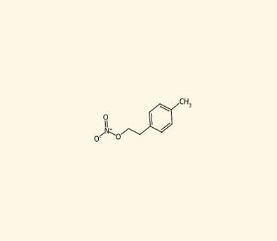 Cc1ccc(CCO[N+](=O)[O-])cc1